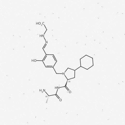 C[C@H](N)C(=O)NC(=O)[C@@H]1CC(C2CCCCC2)CN1Cc1ccc(C=NNCC(=O)O)c(O)c1